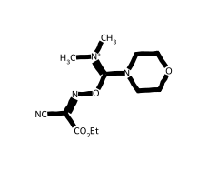 CCOC(=O)/C(C#N)=N\OC(N1CCOCC1)=[N+](C)C